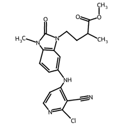 COC(=O)C(C)CCn1c(=O)n(C)c2ccc(Nc3ccnc(Cl)c3C#N)cc21